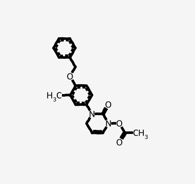 CC(=O)ON1C=CCN(c2ccc(OCc3ccccc3)c(C)c2)C1=O